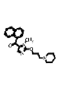 Cn1c(C(=O)c2cccc3ccccc23)cnc1OCCCN1CCCCC1